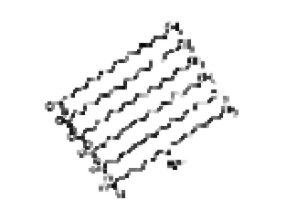 CCCCCCCCCCCCCCCCCC(=O)[O-].CCCCCCCCCCCCCCCCCC(=O)[O-].CCCCCCCCCCCCCCCCCC(=O)[O-].CCCCCCCCCCCCCCCCCC(=O)[O-].CCCCCCCCCCCCCCCCCC(=O)[O-].CCCCCCCCCCCCCCCCCC(=O)[O-].[W+6]